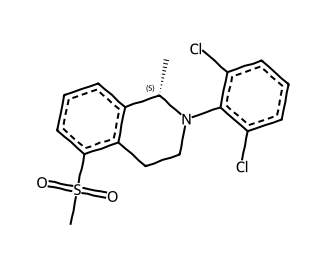 C[C@H]1c2cccc(S(C)(=O)=O)c2CCN1c1c(Cl)cccc1Cl